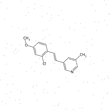 COc1ccc(/C=C/c2cncc(C)c2)c(Cl)c1